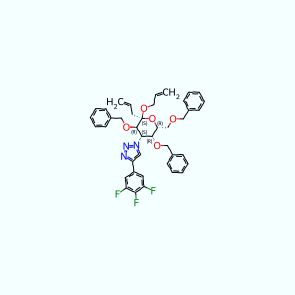 C=CCO[C@@]1(CC=C)O[C@H](COCc2ccccc2)[C@H](OCc2ccccc2)[C@H](n2cc(-c3cc(F)c(F)c(F)c3)nn2)[C@H]1OCc1ccccc1